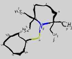 CC1(C)CCCC(C)(C)N1SC1CCCCC1